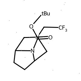 CC(C)(C)OC(=O)N1C2CCC1CN(CC(F)(F)F)C2